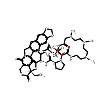 CC[C@@]1(OC(=O)[C@@H](NC(=O)[C@@H]2CCCN2C(=O)[C@H](CC(N)=O)NC(=O)CN(C)CCN(C)CCN(C)CCNC(=O)OC(C)(C)C)C(C)C)C(=O)OCc2c1cc1n(c2=O)Cc2cc3cc4c(cc3nc2-1)OCO4